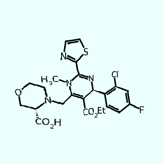 CCOC(=O)C1=C(CN2CCOC[C@H]2C(=O)O)N(C)C(c2nccs2)=N[C@H]1c1ccc(F)cc1Cl